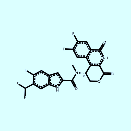 CN(C(=O)c1cc2cc(F)c(C(F)F)cc2[nH]1)[C@H]1COC(=O)c2[nH]c(=O)c3cc(F)c(F)cc3c21